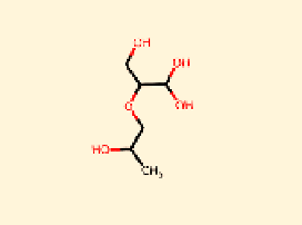 CC(O)COC(CO)C(O)O